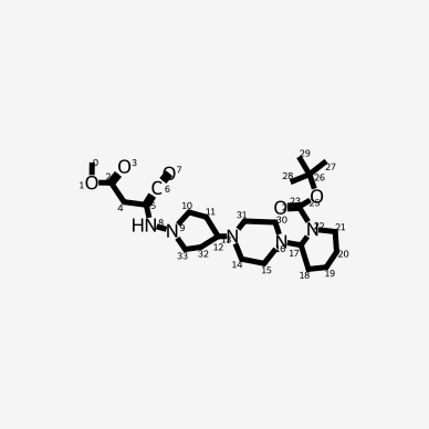 COC(=O)CC(=C=O)NN1CCC(N2CCN(C3CCCCN3C(=O)OC(C)(C)C)CC2)CC1